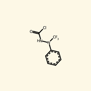 O=C(Cl)NN(c1ccccc1)C(F)(F)F